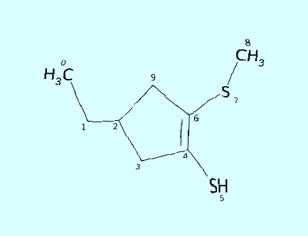 CCC1CC(S)=C(SC)C1